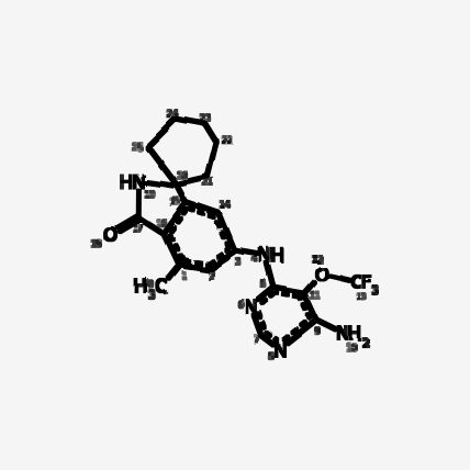 Cc1cc(Nc2ncnc(N)c2OC(F)(F)F)cc2c1C(=O)NC21CCCCC1